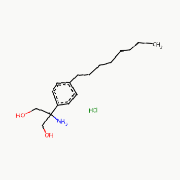 CCCCCCCCc1ccc(C(N)(CO)CO)cc1.Cl